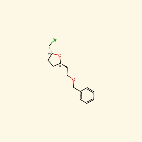 BrC[C@H]1CC[C@H](CCOCc2ccccc2)O1